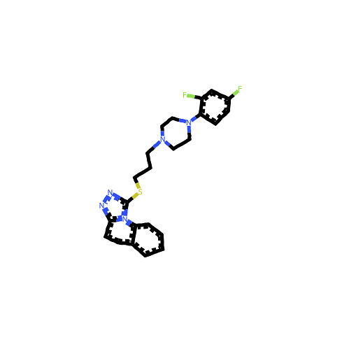 Fc1ccc(N2CCN(CCCSc3nnc4ccc5ccccc5n34)CC2)c(F)c1